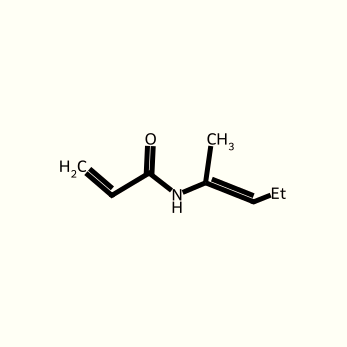 C=CC(=O)N/C(C)=C/CC